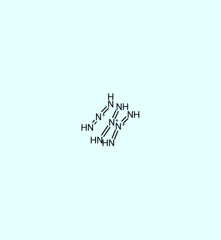 N=[N+]=N.N=[N+]=N.N=[N+]=N